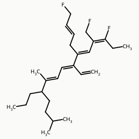 C=CC(=C\C=C(/C)C(CCC)CCC(C)C)/C(=C/C(CF)=C(/F)CC)C/C=C/CF